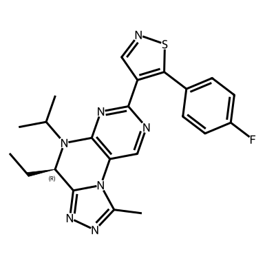 CC[C@@H]1c2nnc(C)n2-c2cnc(-c3cnsc3-c3ccc(F)cc3)nc2N1C(C)C